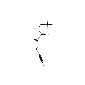 CN(CC(F)(F)F)C(=O)C(=O)OCC#CF